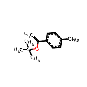 C=C(O[Si](C)(C)C)c1ccc(OC)cc1